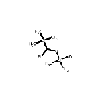 CCC(O[Si](C)(C)C(C)C)[Si](C)(C)C